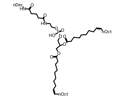 CCCCCCCC/C=C\CCCCCCCC(=O)OCC(COP(=O)(O)OCCNC(=O)CCCC(=O)NCCCCCCCCCC)OC(=O)CCCCCCC/C=C\CCCCCCCC